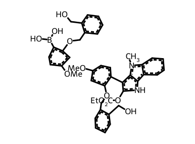 CCOC(=O)Oc1[nH]c2c3ccccc3n(C)c2c1-c1ccc(OC)cc1OCc1ccccc1CO.COc1ccc(B(O)O)c(OCc2ccccc2CO)c1